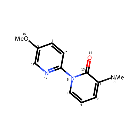 CNc1cccn(-c2ccc(OC)cn2)c1=O